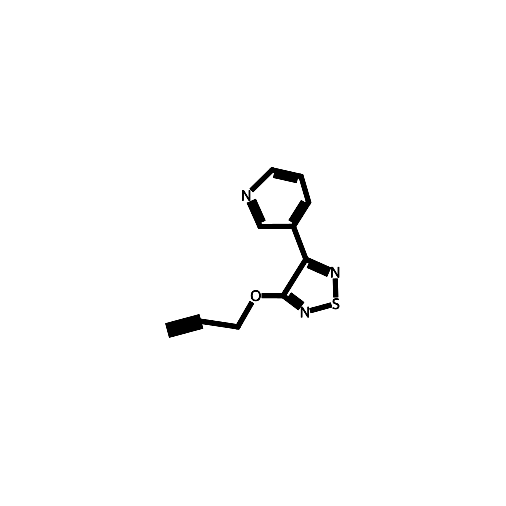 C#CCOc1nsnc1-c1cccnc1